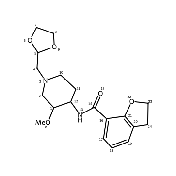 COC1CN(CC2OCCO2)CCC1NC(=O)c1cccc2c1OCC2